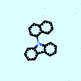 [c]1ccc(-n2c3ccccc3c3ccccc32)c2ccccc12